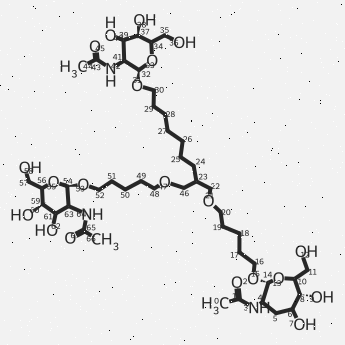 CC(=O)NC1CC(O)[C@@H](O)C(CO)O[C@H]1OCCCCCOCC(CCCCCCCO[C@@H]1OC(CO)[C@H](O)C(O)C1NC(C)=O)COCCCCCO[C@@H]1OC(CO)[C@H](O)C(O)C1NC(C)=O